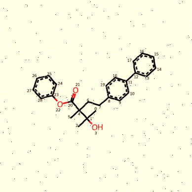 CC(C)(O)C(C)(CCc1ccc(-c2ccccc2)cc1)C(=O)Oc1ccccc1